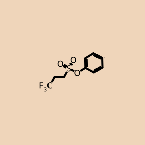 O=S(=O)(CCC(F)(F)F)Oc1cc[c]cc1